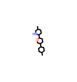 CC1CCC(C2CCC(C3CCC(C)CN3)OC2)CC1